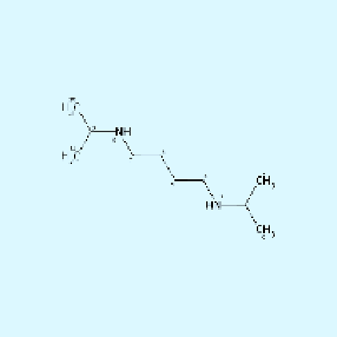 CC(C)NCCCCNC(C)C